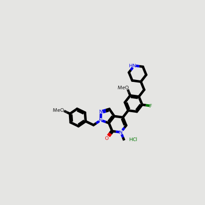 COc1ccc(Cn2ncc3c(-c4cc(F)c(CC5CCNCC5)c(OC)c4)cn(C)c(=O)c32)cc1.Cl